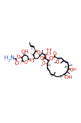 C/C=C/[C@H]1O[C@@](O)([C@@H](C)[C@H](O)[C@H](C)[C@H]2OC(=O)/C(OC)=C/C(C)=C/[C@@H](C)[C@@H](O)[C@@H](C)[C@@H](O)[C@H](C)C/C(C)=C/C=C/[C@@H]2OC)C[C@@H](O[C@H]2C[C@@H](O)[C@H](OC(N)=O)[C@@H](C)O2)[C@@H]1C